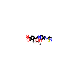 Cc1c([C@@H](O)CN2CCC3(CC2)CN(c2ccns2)C3)ccc2c1COC2=O